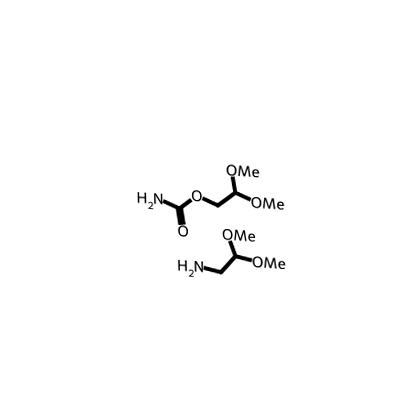 COC(CN)OC.COC(COC(N)=O)OC